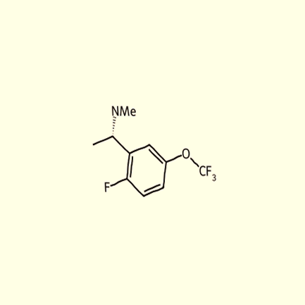 CN[C@@H](C)c1cc(OC(F)(F)F)ccc1F